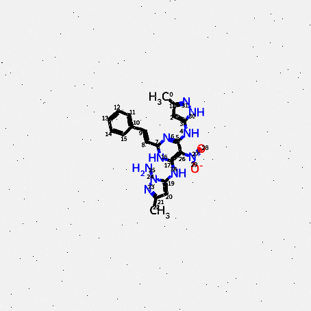 Cc1cc(NC2=NC(/C=C/c3ccccc3)NC(Nc3cc(C)nn3N)=C2[N+](=O)[O-])[nH]n1